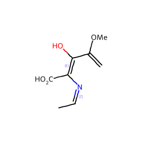 C=C(OC)/C(O)=C(\N=C/C)C(=O)O